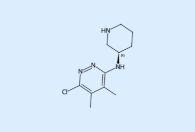 Cc1c(Cl)nnc(N[C@@H]2CCCNC2)c1C